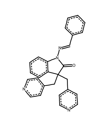 O=C1N(N=Cc2ccccc2)c2ccccc2C1(Cc1ccncc1)Cc1ccncc1